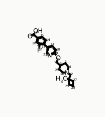 CC1(CN2CCC(COc3ccc(-c4ccc(C(=O)O)cc4F)cn3)CC2)CCC1